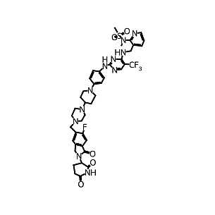 CN(c1ncccc1CNc1nc(Nc2ccc(N3CCC(N4CCN(Cc5cc6c(cc5F)C(=O)N(C5CCC(=O)NC5=O)C6)CC4)CC3)cc2)ncc1C(F)(F)F)S(C)(=O)=O